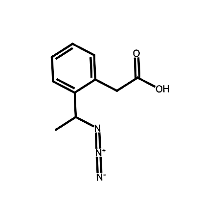 CC(N=[N+]=[N-])c1ccccc1CC(=O)O